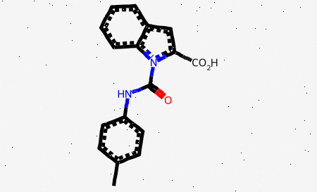 Cc1ccc(NC(=O)n2c(C(=O)O)cc3ccccc32)cc1